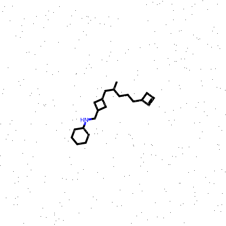 CC(CCCC1C=CC1)CC1CC(CNC2CCCCC2)C1